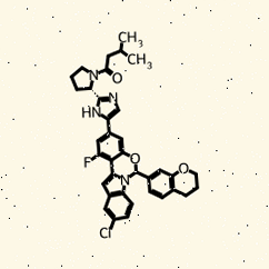 CC(C)CC(=O)N1CCC[C@H]1c1ncc(-c2cc(F)c3c(c2)OC(c2ccc4c(c2)OCCC4)n2c-3cc3cc(Cl)ccc32)[nH]1